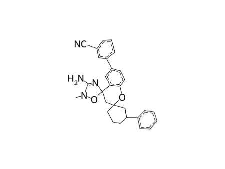 CN1OC2(CC3(CCCC(c4ccccc4)C3)Oc3ccc(-c4cccc(C#N)c4)cc32)N=C1N